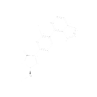 CN[C@@H]1CN(c2ccc(-c3cccc4[nH]nnc34)c(F)c2)C(=O)O1